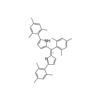 Cc1cc(C)c(C2=N/C(=C(\c3ccc(-c4c(C)cc(C)cc4C)[nH]3)c3c(C)cc(C)cc3C)C=C2)c(C)c1